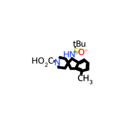 Cc1cccc2c1CC1(CCN(C(=O)O)CC1)[C@H]2N[S@+]([O-])C(C)(C)C